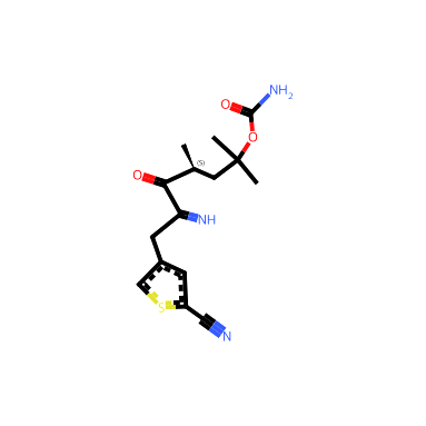 C[C@@H](CC(C)(C)OC(N)=O)C(=O)C(=N)Cc1csc(C#N)c1